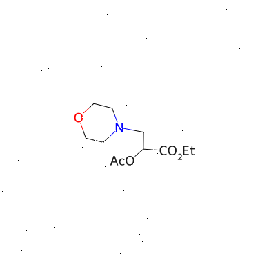 CCOC(=O)C(CN1CCOCC1)OC(C)=O